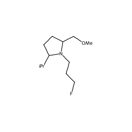 COCC1CCC(C(C)C)N1CCCF